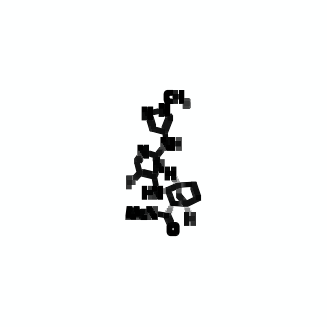 CNC(=O)[C@@H]1[C@H](Nc2nc(Nc3cnn(C)c3)ncc2F)[C@H]2C=C[C@@H]1C2